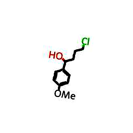 COc1ccc(C(O)CCCCl)cc1